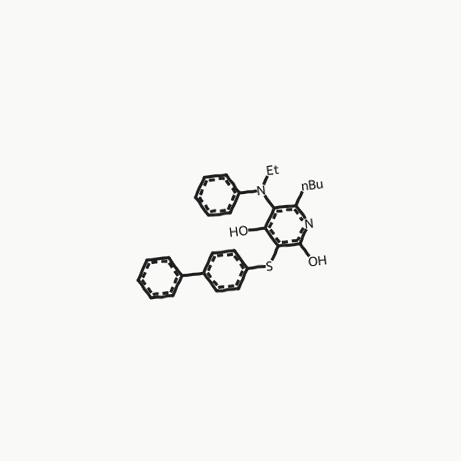 CCCCc1nc(O)c(Sc2ccc(-c3ccccc3)cc2)c(O)c1N(CC)c1ccccc1